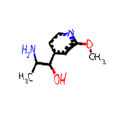 COc1cc(C(O)C(C)N)ccn1